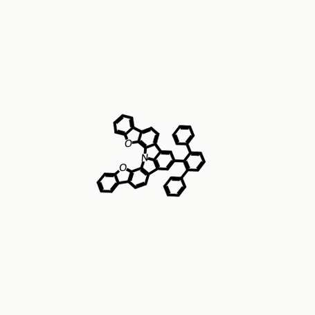 c1ccc(-c2cccc(-c3ccccc3)c2-c2cc3c4ccc5c6ccccc6oc5c4n4c3c(c2)c2ccc3c5ccccc5oc3c24)cc1